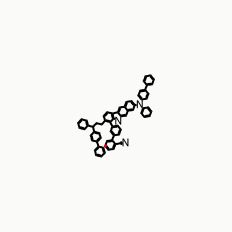 N#Cc1ccccc1-c1ccc2c(c1)c1c(CCC(c3ccccc3)c3ccc(-c4ccccc4)cc3)ccc3c4cc5ccc(N(c6ccccc6)c6ccc(-c7ccccc7)cc6)cc5cc4n2c31